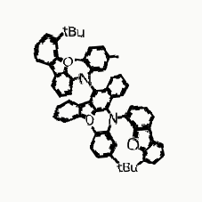 Cc1ccc(C)c(N(c2cccc3c2oc2c(C(C)(C)C)cccc23)c2c3ccccc3c(N(c3cc(C)ccc3C)c3cccc4c3oc3c(C(C)(C)C)cccc34)c3c2oc2ccccc23)c1